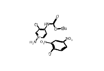 CC(C)(C)OC(=O)Nc1cc[n+](N)cc1Cl.O=[N+]([O-])c1ccc([O-])c([N+](=O)[O-])c1